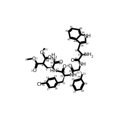 COC(=O)C(C[C@H](NC(=O)[C@H](Cc1ccc(Cl)cc1)NC(=O)[C@@H](Cc1ccccc1)NC(=O)[C@H](N)Cc1c[nH]c2ccccc12)C(N)=O)C(=O)OC